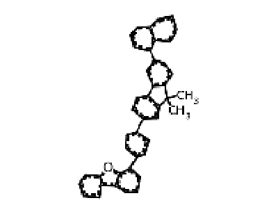 CC1(C)c2ccc(-c3cccc4ccccc34)cc2-c2ccc(-c3ccc(-c4cccc5c4oc4ccccc45)cc3)cc21